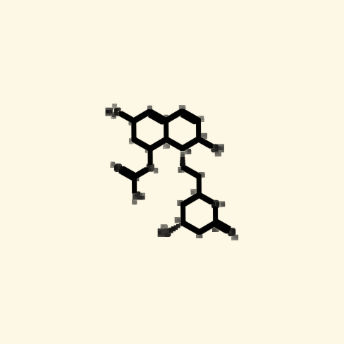 CCC(C)C(=O)OC1CC(C)C=C2C=CC(O)[C@H](CCC3C[C@@H](O)CC(=O)O3)C21